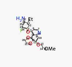 CCc1cc(Oc2ccnc3cc(OCCOC)c4c(c23)OCCO4)c(F)cc1N